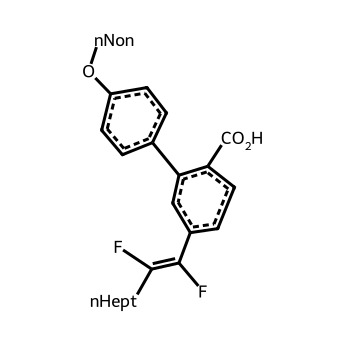 CCCCCCCCCOc1ccc(-c2cc(C(F)=C(F)CCCCCCC)ccc2C(=O)O)cc1